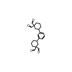 O=CC1(C=O)CCCC(c2cccc(C3CCCC(C=O)(C=O)C3)c2)C1